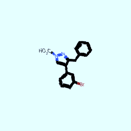 O=C(O)n1cc(-c2cccc(Br)c2)c(Cc2ccccc2)n1